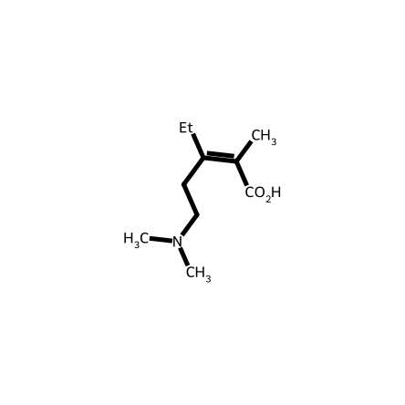 CCC(CCN(C)C)=C(C)C(=O)O